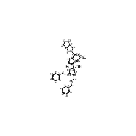 OC1(c2cnc3c(N4CC5CCCC5C4)nc(Cl)nn23)O[C@H](COCc2ccccc2)[C@@H](OCc2ccccc2)[C@@H]1F